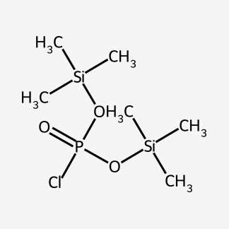 C[Si](C)(C)OP(=O)(Cl)O[Si](C)(C)C